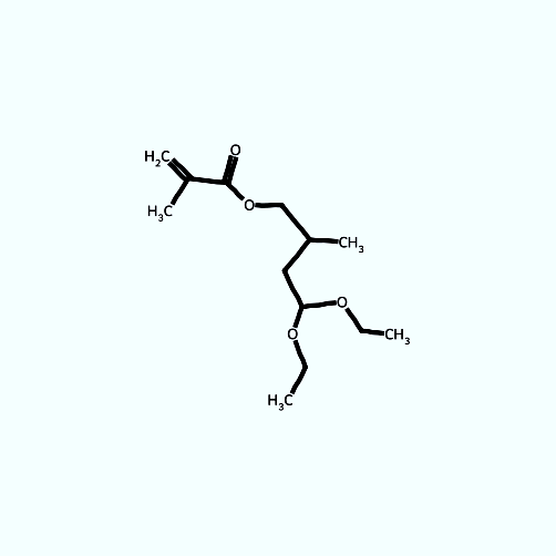 C=C(C)C(=O)OCC(C)CC(OCC)OCC